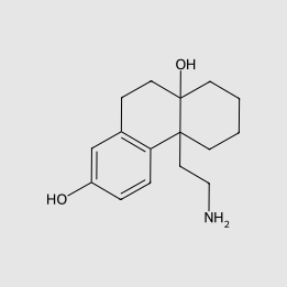 NCCC12CCCCC1(O)CCc1cc(O)ccc12